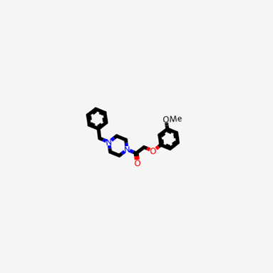 COc1cccc(OCC(=O)N2CCN(Cc3ccccc3)CC2)c1